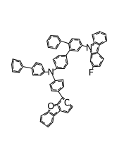 Fc1ccc2c3ccccc3n(-c3ccc(-c4ccccc4)c(-c4ccc(N(c5ccc(-c6ccccc6)cc5)c5ccc(-c6cccc7c6oc6ccccc67)cc5)cc4)c3)c2c1